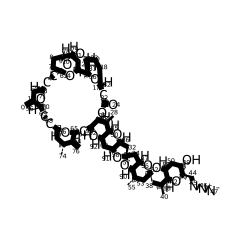 C=C1C[C@@H]2CC[C@]34CC[C@H](O3)[C@H]3C[C@@H](O4)[C@H]4O[C@H](CC[C@@H]4O3)CC(=O)O[C@@H]3[C@@H](C)[C@@H]4O[C@@H]5C[C@]6(C[C@@H]7O[C@]8(C[C@H](C)[C@@H]9O[C@H](CN=[N+]=[N-])[C@H](O)C[C@@H]9O8)C[C@H](C)[C@@H]7O6)O[C@@H]5C[C@@H]4O[C@H]3C[C@H]3O[C@@H](CC[C@@H]1O2)C[C@@H](C)C3=C